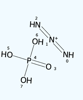 N=[N+]=N.O=P(O)(O)O